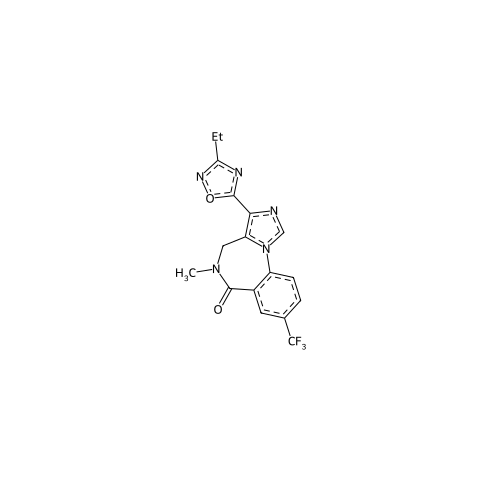 CCc1noc(-c2ncn3c2CN(C)C(=O)c2cc(C(F)(F)F)ccc2-3)n1